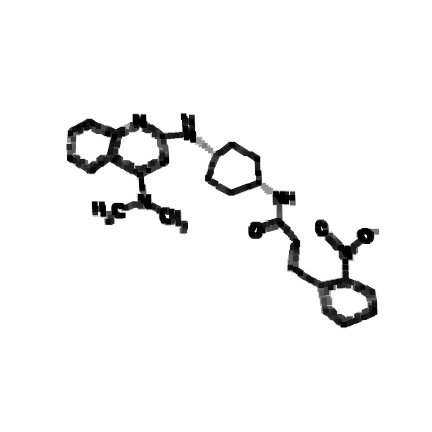 CN(C)c1cc(N[C@H]2CC[C@@H](NC(=O)/C=C/c3ccccc3[N+](=O)[O-])CC2)nc2ccccc12